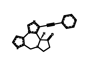 O=C1CCN2Cc3sccc3-n3cnc(C#Cc4ccccc4)c3[C@@H]12